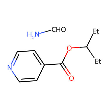 CCC(CC)OC(=O)c1ccncc1.NC=O